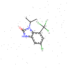 CC(C)n1c(=O)[nH]c2cc(Br)cc(C(F)(F)F)c21